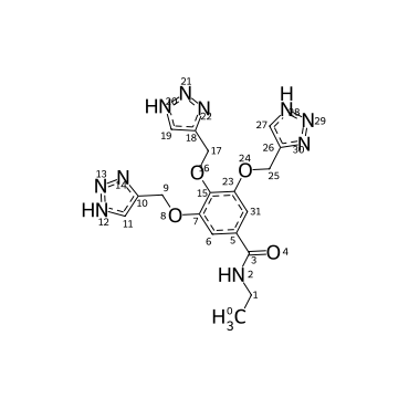 CCNC(=O)c1cc(OCc2c[nH]nn2)c(OCc2c[nH]nn2)c(OCc2c[nH]nn2)c1